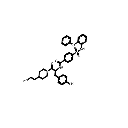 O=C(NC(Cc1ccc(O)cc1)C(=O)N1CCC(CCO)CC1)c1ccc(S(=O)(=O)Nc2ccccc2Oc2ccccc2)cc1